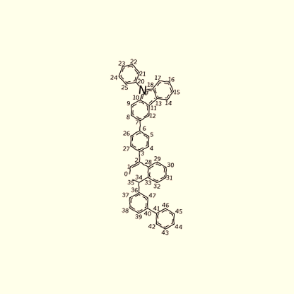 C/C=C(/c1ccc(-c2ccc3c(c2)c2ccccc2n3-c2ccccc2)cc1)c1ccccc1C(C)c1cccc(-c2ccccc2)c1